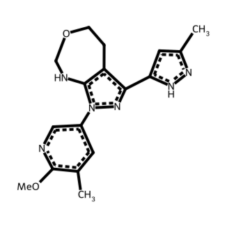 COc1ncc(-n2nc(-c3cc(C)n[nH]3)c3c2NCOCC3)cc1C